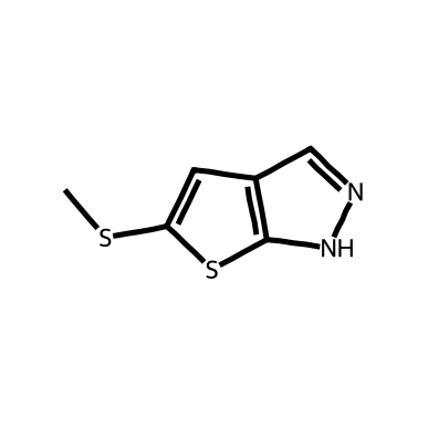 CSc1cc2cn[nH]c2s1